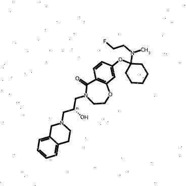 CN(CCF)C1(Oc2ccc3c(c2)OCCN(C[C@H](O)CN2CCc4ccccc4C2)C3=O)CCCCC1